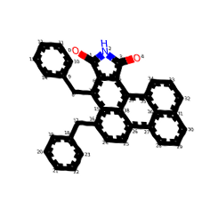 O=c1[nH]c(=O)c2c1c(Cc1ccccc1)c1c(Cc3ccccc3)ccc3c4cccc5cccc(c54)c2c13